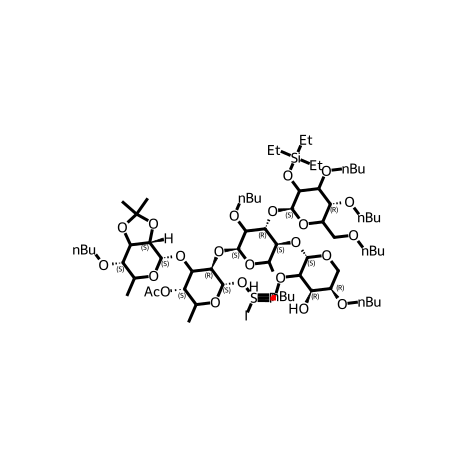 CCCCOCC1O[C@@H](O[C@H]2C(OCCCC)[C@H](O[C@@H]3C(O[C@@H]4OC(C)[C@H](OCCCC)C5OC(C)(C)O[C@@H]54)[C@@H](OC(C)=O)C(C)O[C@H]3O[SH](#P)I)OC(C)[C@@H]2O[C@@H]2OC[C@@H](OCCCC)[C@@H](O)C2OCCCC)C(O[Si](CC)(CC)CC)C(OCCCC)[C@@H]1OCCCC